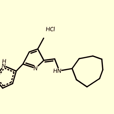 CC1=CC(c2ccc[nH]2)=NC1=CNC1CCCCCCC1.Cl